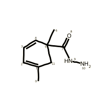 CC1=CC=CC(C)(C(=O)NN)C1